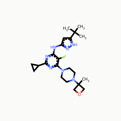 CC(C)(C)c1cc(Nc2nc(C3CC3)nc(N3CCN(C4(C)COC4)CC3)c2F)n[nH]1